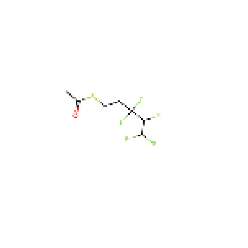 CC(=O)SCCC(F)(F)C(F)C(F)F